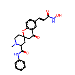 CN1CCC2(CC(=O)c3cc(C=CC(=O)NO)ccc3O2)CC1C(=O)Nc1ccccc1